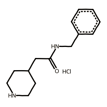 Cl.O=C(CC1CCNCC1)NCc1ccccc1